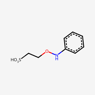 O=S(=O)(O)CCONc1ccccc1